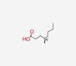 CCCC[C@@H](C)CCC(=O)O